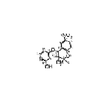 CC1(C)Oc2ccc([N+](=O)[O-])cc2C(Oc2ccnc(O)c2)C1(C)O